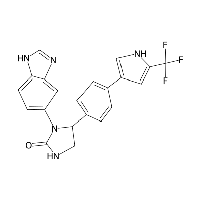 O=C1NCC(c2ccc(-c3c[nH]c(C(F)(F)F)c3)cc2)N1c1ccc2[nH]cnc2c1